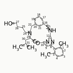 Cc1cccc(C)c1-c1cc2nc(n1)NSc1cccc(c1)CN(CCCCO)C(CC(C)C)CO2